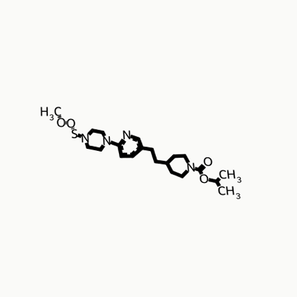 COOSN1CCN(c2ccc(CCC3CCN(C(=O)OC(C)C)CC3)cn2)CC1